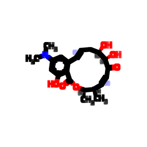 C[C@@H]1/C=C\C(=O)[C@@H](O)[C@@H](O)C/C=C/c2cc(N(C)C)cc(O)c2C(=O)O[C@H]1C